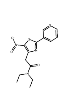 CCN(CC)C(=O)Cc1nc(-c2cccnc2)sc1[N+](=O)[O-]